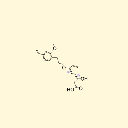 C=C/C(=C\C=C(\O)CC(=O)O)OCCCc1ccc(C=C)cc1OC